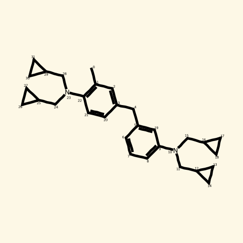 Cc1cc(Cc2cccc(N(CC3CC3)CC3CC3)c2)ccc1N(CC1CC1)CC1CC1